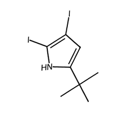 CC(C)(C)c1cc(I)c(I)[nH]1